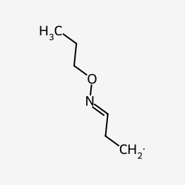 [CH2]CC=NOCCC